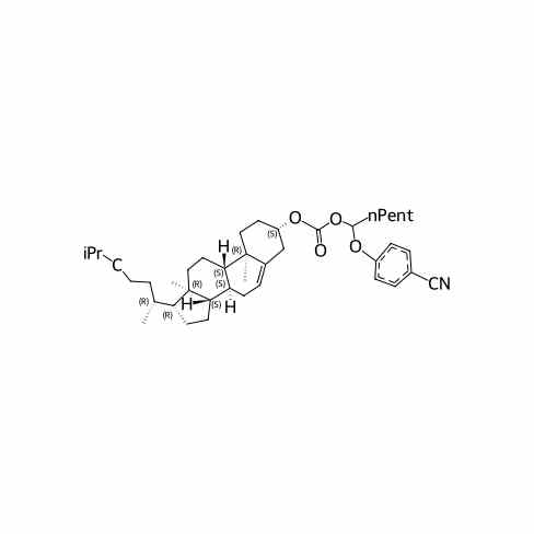 CCCCCC(OC(=O)O[C@H]1CC[C@@]2(C)C(=CC[C@H]3[C@@H]4CC[C@H]([C@H](C)CCCC(C)C)[C@@]4(C)CC[C@@H]32)C1)Oc1ccc(C#N)cc1